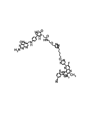 Cc1nc2cc(F)c(-c3cnc(OCCCCCn4cc(COCCNC(=O)CC[C@H](NC(=O)c5ccc(NCc6cnc7nc(N)nc(O)c7n6)cc5)C(=O)O)nn4)nc3)nc2c(N[C@H](C)c2cc(C#N)ccc2F)c1Cl